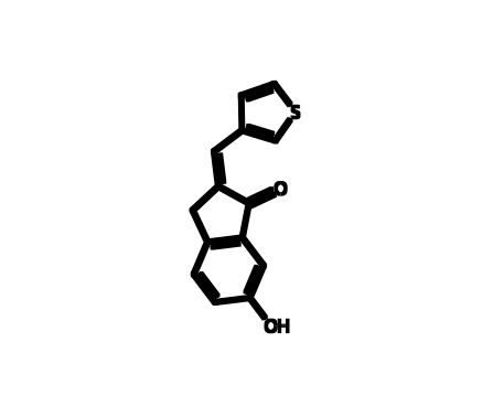 O=C1C(=Cc2ccsc2)Cc2ccc(O)cc21